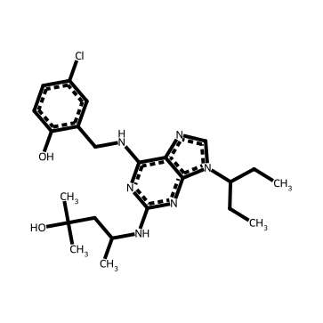 CCC(CC)n1cnc2c(NCc3cc(Cl)ccc3O)nc(NC(C)CC(C)(C)O)nc21